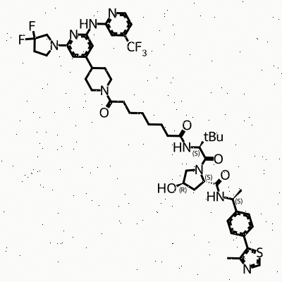 Cc1ncsc1-c1ccc([C@H](C)NC(=O)[C@@H]2C[C@@H](O)CN2C(=O)[C@@H](NC(=O)CCCCCCC(=O)N2CCC(c3cc(Nc4cc(C(F)(F)F)ccn4)nc(N4CCC(F)(F)C4)c3)CC2)C(C)(C)C)cc1